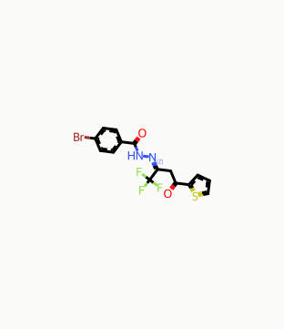 O=C(N/N=C(/CC(=O)c1cccs1)C(F)(F)F)c1ccc(Br)cc1